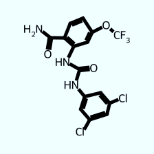 NC(=O)c1ccc(OC(F)(F)F)cc1NC(=O)Nc1cc(Cl)cc(Cl)c1